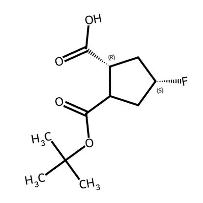 CC(C)(C)OC(=O)C1C[C@@H](F)C[C@H]1C(=O)O